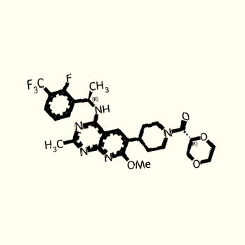 COc1nc2nc(C)nc(N[C@H](C)c3cccc(C(F)(F)F)c3F)c2cc1C1CCN(C(=O)[C@H]2COCCO2)CC1